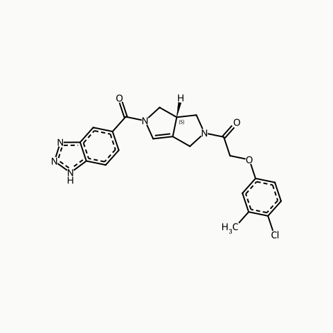 Cc1cc(OCC(=O)N2CC3=CN(C(=O)c4ccc5[nH]nnc5c4)C[C@@H]3C2)ccc1Cl